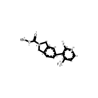 CC(C)(C)OC(=O)N1Cc2ccc(-c3c(C(F)(F)F)ccnc3F)cc2C1